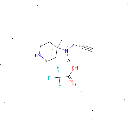 C#CCN(C(C)=O)C1(C)CCNCC1.O=C(O)C(F)(F)F